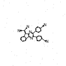 N#CC(C#N)=C1c2ccccc2-c2nc(-c3ccc(C#N)cc3)c(-c3ccc(C#N)cc3)nc21